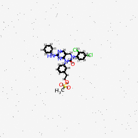 CS(=O)(=O)OCCc1cccc(N2C(=O)N(c3ccc(Cl)cc3Cl)Cc3cnc(Nc4ccccc4)nc32)c1